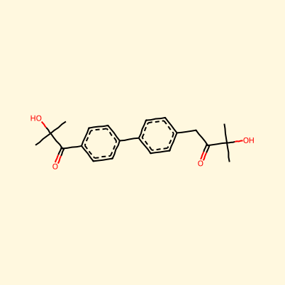 CC(C)(O)C(=O)Cc1ccc(-c2ccc(C(=O)C(C)(C)O)cc2)cc1